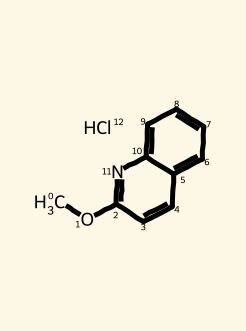 COc1ccc2ccccc2n1.Cl